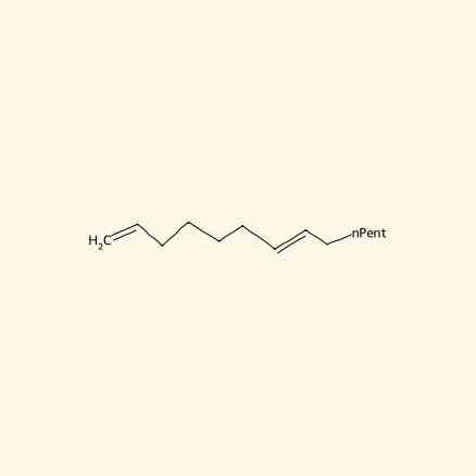 [CH2]CCCCCC=CCCCCC=C